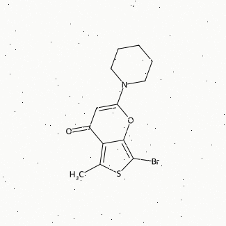 Cc1sc(Br)c2oc(N3CCCCC3)cc(=O)c12